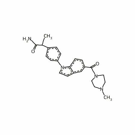 CC(C(N)=O)c1ccc(-n2ccc3cc(C(=O)N4CCN(C)CC4)ccc32)cc1